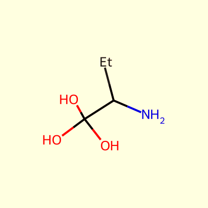 CCC(N)C(O)(O)O